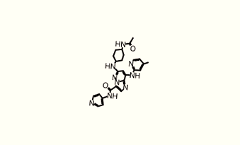 CC(=O)NC1CCC(Nc2cc(Nc3cc(C)ccn3)c3ncc(C(=O)Nc4ccncc4)n3n2)CC1